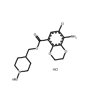 CCCCN1CCC(COC(=O)c2cc(Cl)c(N)c3c2OCCO3)CC1.Cl